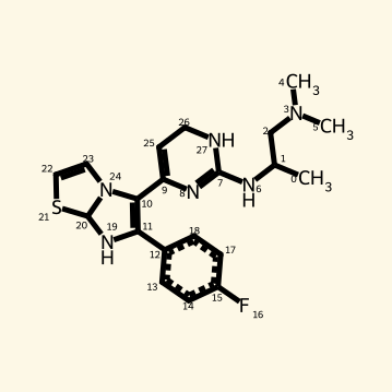 CC(CN(C)C)NC1=NC(C2=C(c3ccc(F)cc3)NC3SC=CN23)=CCN1